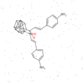 O=C(C=Cc1ccc([N+](=O)[O-])cc1)[C]12[CH]3[CH]4[CH]5[CH]1[Fe]45321678[CH]2[CH]1[CH]6[C]7(C(=O)C=Cc1ccc([N+](=O)[O-])cc1)[CH]28